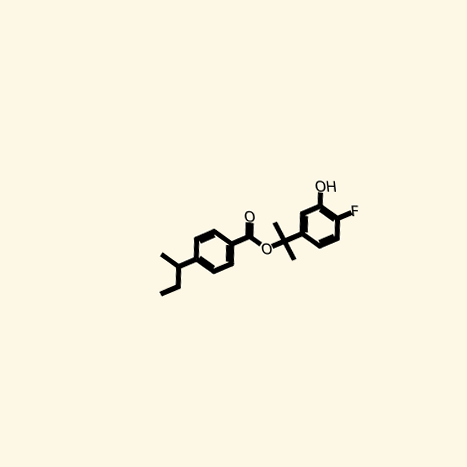 CCC(C)c1ccc(C(=O)OC(C)(C)c2ccc(F)c(O)c2)cc1